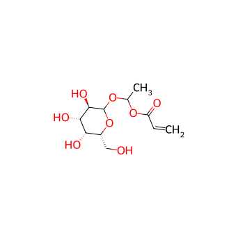 C=CC(=O)OC(C)OC1O[C@H](CO)[C@H](O)[C@H](O)[C@H]1O